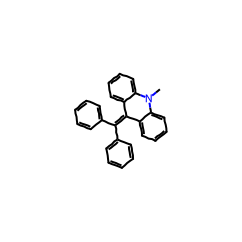 CN1c2ccccc2C(=C(c2ccccc2)c2ccccc2)c2ccccc21